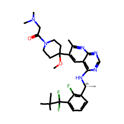 COC1(c2cc3c(N[C@H](C)c4cccc(C(F)(F)C(C)(C)C)c4F)ncnc3nc2C)CCN(C(=O)CN(C)C)CC1